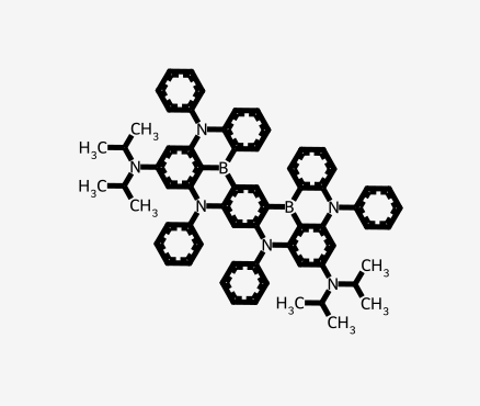 CC(C)N(c1cc2c3c(c1)N(c1ccccc1)c1cc4c(cc1B3c1ccccc1N2c1ccccc1)B1c2ccccc2N(c2ccccc2)c2cc(N(C(C)C)C(C)C)cc(c21)N4c1ccccc1)C(C)C